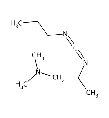 CCCN=C=NCC.CN(C)C